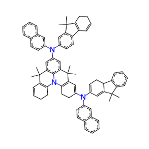 CC1(C)C2=C(C=CCC2)c2ccc(N(c3cc4c5c(c3)C(C)(C)C3=C(CCC(N(C6=CCC7C(=C6)C(C)(C)c6ccccc67)c6ccc7ccccc7c6)=C3)N5C3=C(C=CCC3)C4(C)C)c3ccc4ccccc4c3)cc21